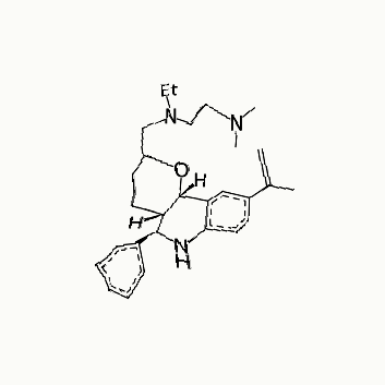 C=C(C)c1ccc2c(c1)[C@H]1OC(CN(CC)CCN(C)C)CC[C@H]1[C@H](c1ccccc1)N2